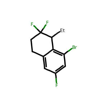 CCC1c2c(Br)cc(F)cc2CCC1(F)F